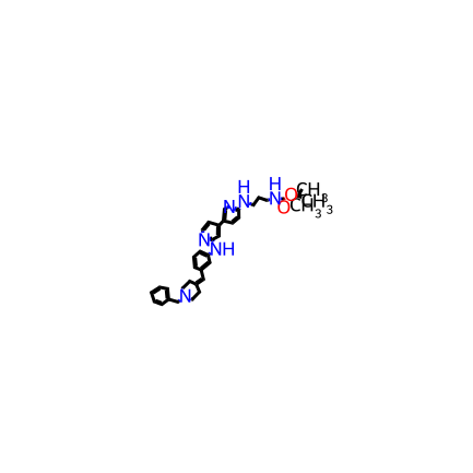 CC(C)(C)OC(=O)NCCCNc1ccc(-c2ccnc(Nc3cccc(C=C4CCN(Cc5ccccc5)CC4)c3)c2)cn1